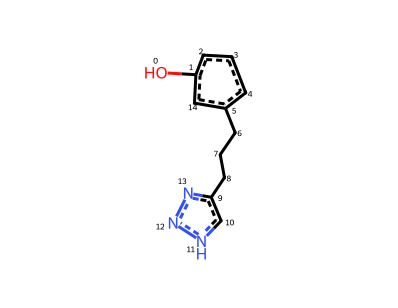 Oc1cccc(CCCc2c[nH]nn2)c1